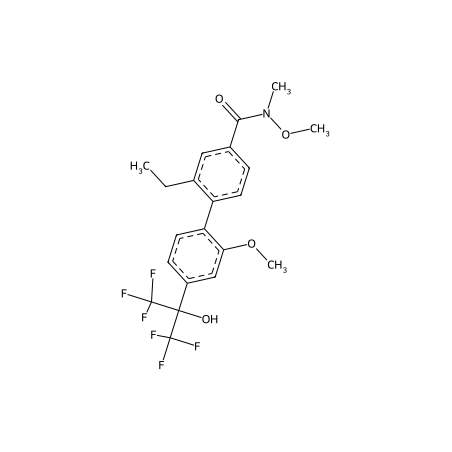 CCc1cc(C(=O)N(C)OC)ccc1-c1ccc(C(O)(C(F)(F)F)C(F)(F)F)cc1OC